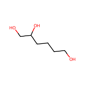 OCCC[CH]C(O)CO